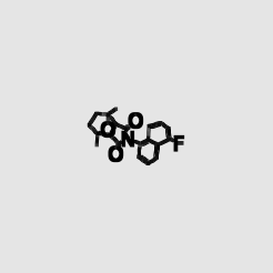 CC12CCC(C)(O1)C1C(=O)N(c3cccc4c(F)cccc34)C(=O)C12